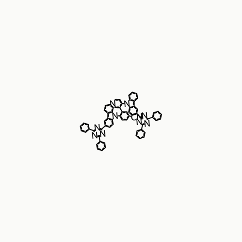 N#Cc1ccc(-n2c3ccccc3c3cc(-c4nc(-c5ccccc5)nc(-c5ccccc5)n4)ccc32)c(-c2cnccc2-n2c3ccccc3c3cc(-c4nc(-c5ccccc5)nc(-c5ccccc5)n4)ccc32)c1